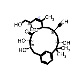 C#C[C@@H]1CC(/C(C)=C\[C@@H](CC)CO)OC(=O)[C@@H](O)[C@H](O)Cc2cccc(c2)C(C)(C)[C@@H](O)C1